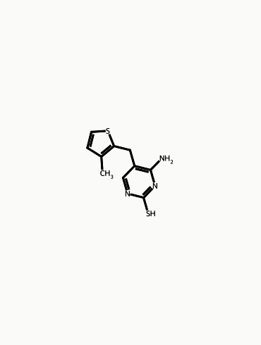 Cc1ccsc1Cc1cnc(S)nc1N